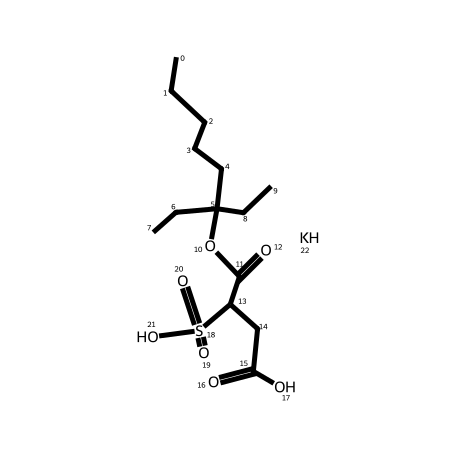 CCCCCC(CC)(CC)OC(=O)C(CC(=O)O)S(=O)(=O)O.[KH]